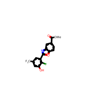 COC(=O)c1ccc2oc(-c3cc(C(F)(F)F)cc(O)c3F)nc2c1